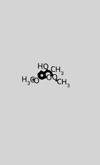 CCOC(=O)C(C)C(O)c1ccc(OC)cc1